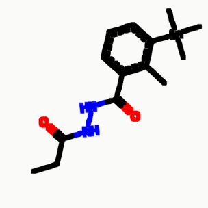 CCC(=O)NNC(=O)c1ccc[c]([Sn]([CH3])([CH3])[CH3])c1C